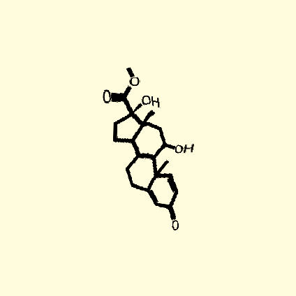 COC(=O)[C@@]1(O)CCC2C3CCC4=CC(=O)C=CC4(C)C3C(O)CC21C